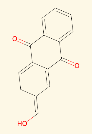 O=C1C2=CCC(=CO)C=C2C(=O)c2ccccc21